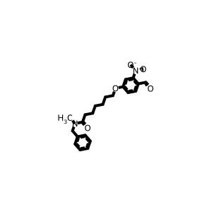 CN(Cc1ccccc1)C(=O)CCCCCCOc1ccc(C=O)c([N+](=O)[O-])c1